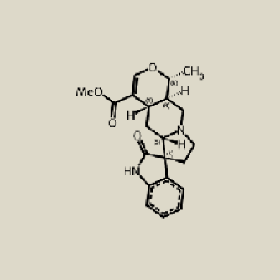 COC(=O)C1=CO[C@H](C)[C@H]2CN3CC[C@@]4(C(=O)Nc5ccccc54)[C@@H]3C[C@H]12